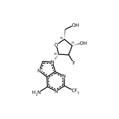 Nc1nc(C(F)(F)F)nc2c1ncn2[C@@H]1O[C@H](CO)[C@H](O)C1F